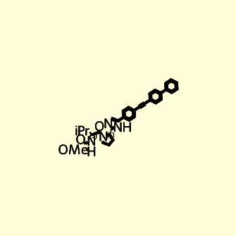 COC(=O)N[C@H](C(=O)N1CCC[C@H]1c1ncc(-c2ccc(C#Cc3ccc(-c4ccccc4)cc3)cc2)[nH]1)C(C)C